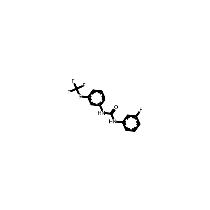 O=C(Nc1cccc(F)c1)Nc1cccc(SC(F)(F)F)c1